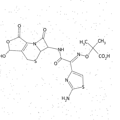 CC(C)(ON=C(C(=O)NC1C(=O)N2C3=C(CSC12)C(O)OC3=O)c1csc(N)n1)C(=O)O